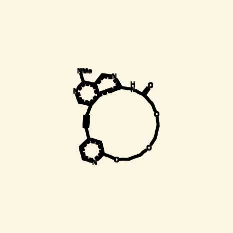 CNc1ncc2c3cc(ncc13)NC(=O)COCCOCCOc1cc(ccn1)C#C2